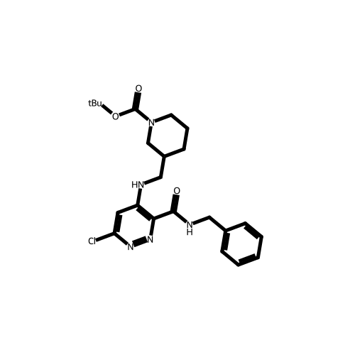 CC(C)(C)OC(=O)N1CCCC(CNc2cc(Cl)nnc2C(=O)NCc2ccccc2)C1